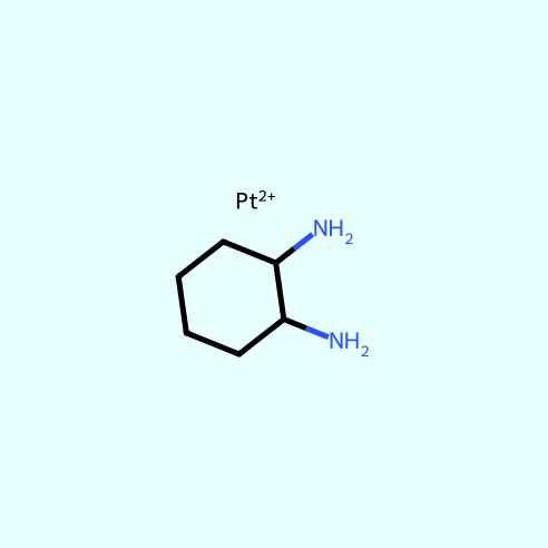 NC1CCCCC1N.[Pt+2]